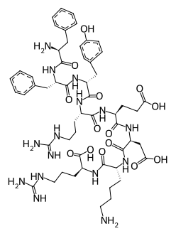 N=C(N)NCCC[C@H](NC(=O)[C@@H](CCCCN)NC(=O)[C@H](CC(=O)O)NC(=O)[C@H](CCC(=O)O)NC(=O)[C@H](CCCNC(=N)N)NC(=O)[C@@H](Cc1ccc(O)cc1)NC(=O)[C@H](Cc1ccccc1)NC(=O)[C@@H](N)Cc1ccccc1)C(=O)O